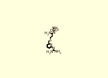 NC(N)=Nc1cccc(CSCC/C(N)=N/S(N)(=O)=O)n1